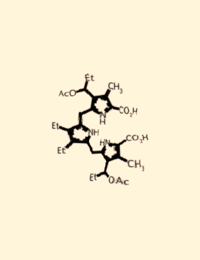 CCc1c(Cc2[nH]c(C(=O)O)c(C)c2C(CC)OC(C)=O)[nH]c(Cc2[nH]c(C(=O)O)c(C)c2C(CC)OC(C)=O)c1CC